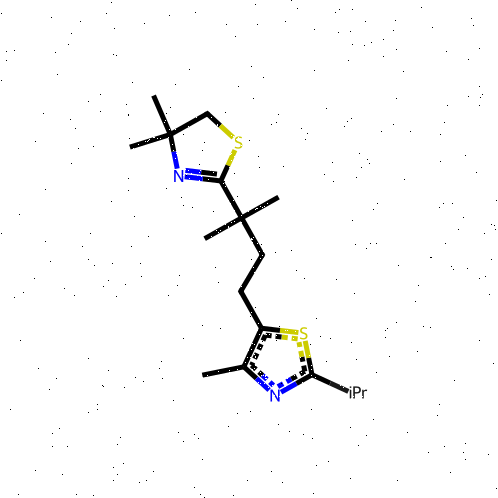 Cc1nc(C(C)C)sc1CCC(C)(C)C1=NC(C)(C)CS1